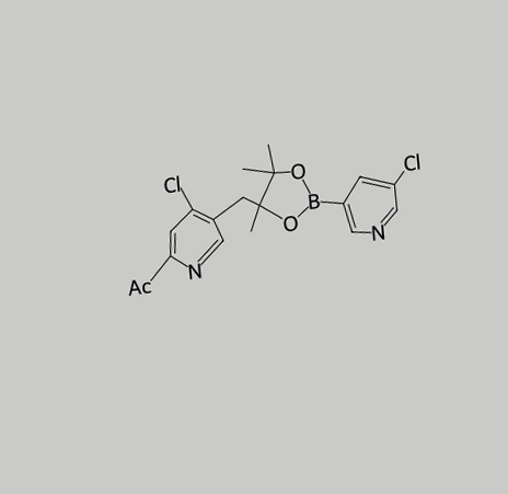 CC(=O)c1cc(Cl)c(CC2(C)OB(c3cncc(Cl)c3)OC2(C)C)cn1